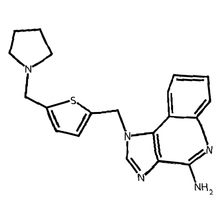 Nc1nc2ccccc2c2c1ncn2Cc1ccc(CN2CCCC2)s1